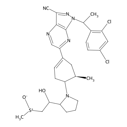 CC(c1ccc(Cl)cc1Cl)n1nc(C#N)c2ncc(C3=CCC(N4CCCC4C(O)C[S+](C)[O-])[C@H](C)C3)nc21